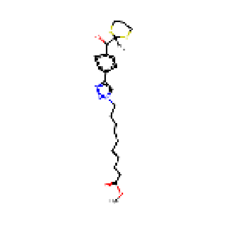 COC(=O)CCCCCCCCCn1cc(-c2ccc(C(O)C3(C)SCCCS3)cc2)nn1